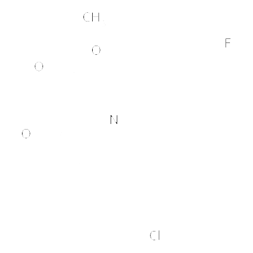 COC(=O)C1C(=O)c2ccc(Cl)cc2N1c1ccc(F)cc1